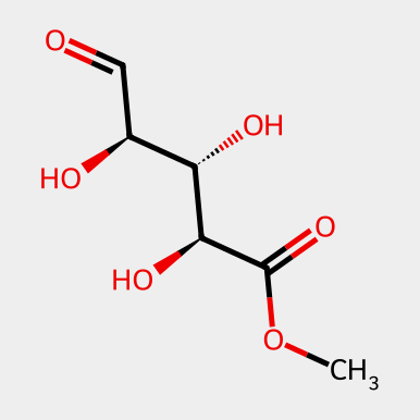 COC(=O)[C@@H](O)[C@@H](O)[C@@H](O)C=O